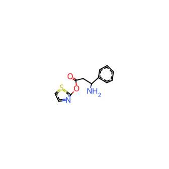 NC(CC(=O)Oc1nccs1)c1ccccc1